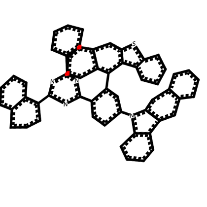 c1ccc(-c2nc(-c3ccc(-n4c5ccccc5c5cc6ccccc6cc54)cc3-c3c4ccccc4cc4sc5ccccc5c34)nc(-c3cccc4ccccc34)n2)cc1